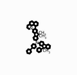 CC1(C)c2cc(-c3cccc4ccc5cccnc5c34)ccc2-c2ccc(N(c3ccc(-c4ccccc4)cc3)c3ccc4c(c3)C(C)(c3ccccc3)c3ccccc3-4)cc21